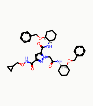 O=C(Cn1nc(C(=O)NOCC2CC2)cc1C(=O)N[C@H]1CCCC[C@@H]1OCc1ccccc1)N[C@H]1CCCC[C@@H]1OCc1ccccc1